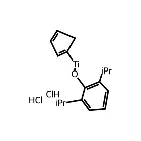 CC(C)c1cccc(C(C)C)c1[O][Ti][C]1=CC=CC1.Cl.Cl